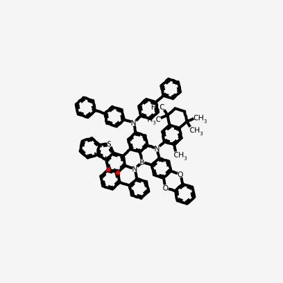 Cc1cc2c(cc1N1c3cc4c(cc3B3c5c(cc(N(c6ccc(-c7ccccc7)cc6)c6ccc(-c7ccccc7)cc6)cc51)-c1c(ccc5c1sc1ccccc15)N3c1ccccc1-c1ccccc1)Oc1ccccc1O4)C(C)(C)CCC2(C)C